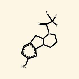 O=C(N1CCCC2c3cc(O)ccc3CC21)C(F)(F)F